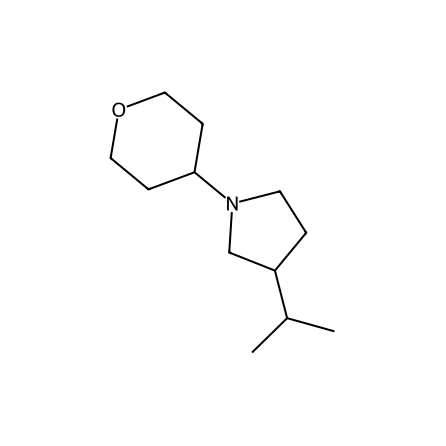 CC(C)C1CCN(C2CCOCC2)C1